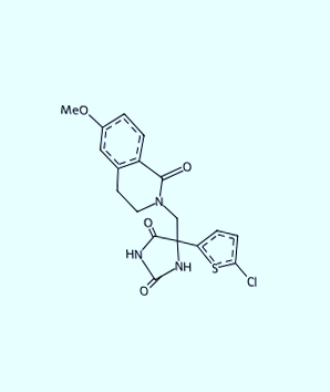 COc1ccc2c(c1)CCN(CC1(c3ccc(Cl)s3)NC(=O)NC1=O)C2=O